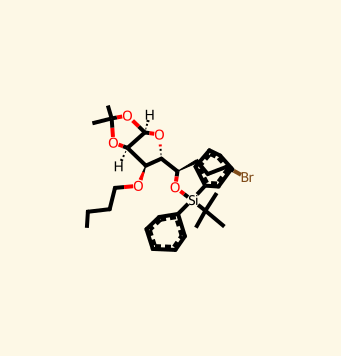 CCCCO[C@H]1[C@H]2OC(C)(C)O[C@H]2O[C@@H]1[C@@H](CCCBr)O[Si](c1ccccc1)(c1ccccc1)C(C)(C)C